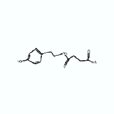 NC(=O)CCC(=O)NCCc1ccc(O)cc1